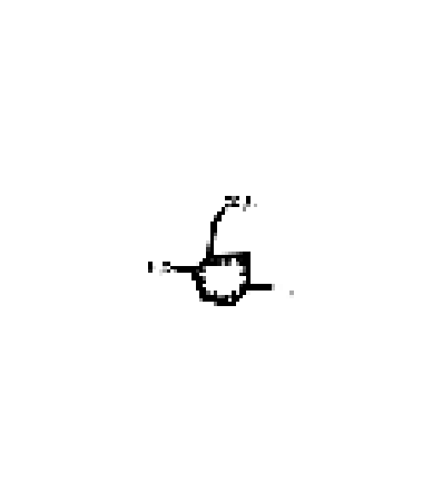 CCOC(=O)Cc1cc(C(F)(F)F)ccc1C